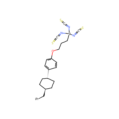 CC(C)C[C@H]1CC[C@H](c2ccc(OCCC[Si](N=C=S)(N=C=S)N=C=S)cc2)CC1